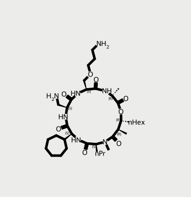 CCCCCC[C@H]1OC(=O)[C@@H](C)NC(=O)[C@H](COCCCN)NC(=O)[C@H](CN)NC(=O)[C@H](C2CCCCCC2)NC(=O)[C@H](CCC)N(C)C(=O)[C@@H]1C